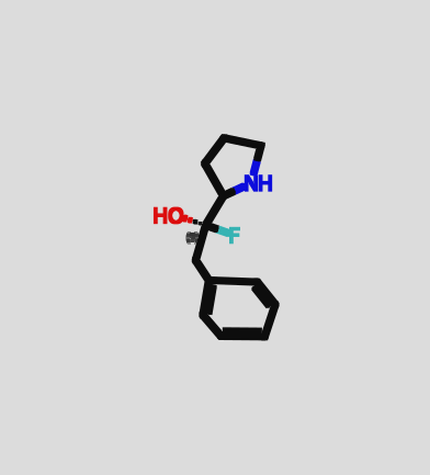 O[C@](F)(Cc1ccccc1)C1CCCN1